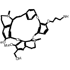 COc1cc2c3cc1Oc1c(OC)c(CO)cc4c1C(Cc1ccc(OCCCN)c(c1)Oc1ccc(cc1)CC3N(C)CC2)N(C)CC4